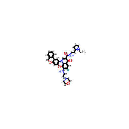 CN1CCCC1CCNC(=O)c1cn2c3c(c(NCCN4CCOCC4)c(F)cc3c1=O)Oc1cc3c(cc1-2)-c1ccccc1CO3